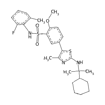 COc1ccc(-c2sc(NC(C)(C)C3CCCCC3)nc2C)cc1S(=O)(=O)Nc1c(C)cccc1F